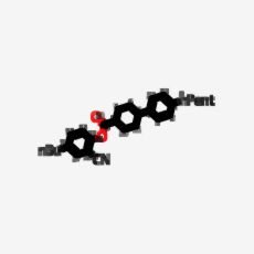 CCCCCc1ccc(C2CCC(C(=O)Oc3ccc(CCCC)cc3C#N)CC2)cc1